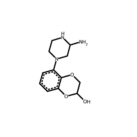 NC1CN(c2cccc3c2OCC(O)O3)CCN1